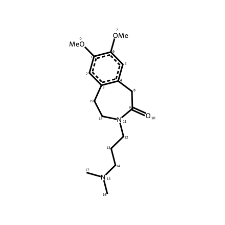 COc1cc2c(cc1OC)CC(=O)N(CCCN(C)C)CC2